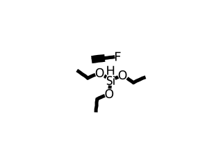 C#CF.CCO[SiH](OCC)OCC